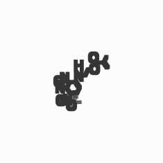 C=C(C)C(=O)OCCNc1ccc([N+](=O)[O-])c2nonc12